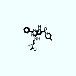 CC(=O)NCCNc1nc(-c2ccccc2)nc2[nH]c(C(=O)N3CCC(C)CC3)cc12